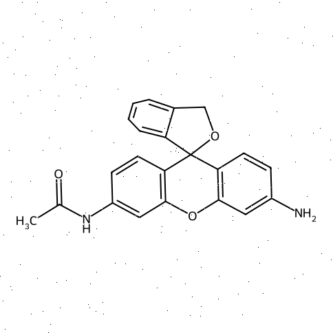 CC(=O)Nc1ccc2c(c1)Oc1cc(N)ccc1C21OCc2ccccc21